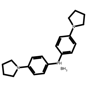 B.c1cc(N2CCCC2)ccc1Pc1ccc(N2CCCC2)cc1